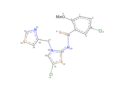 COc1ccc(Cl)cc1C(=S)N=c1sc(Cl)cn1Cc1cscn1